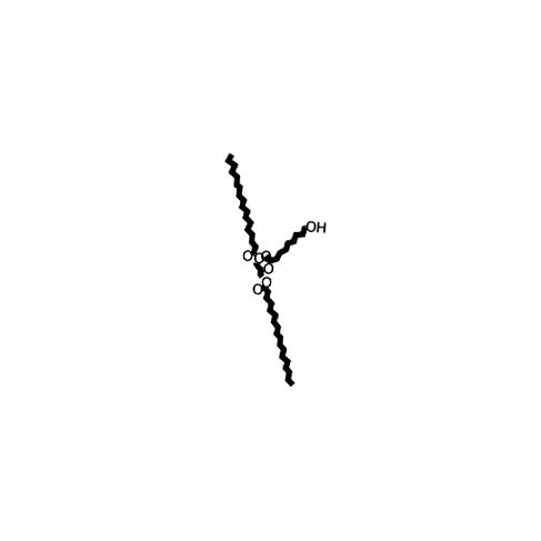 CCCCCCCCCCCCCCCCCC(=O)OCC(COC(=O)CCCCCCCCCCCCCCCCC)OC(=O)CCCCCCCCO